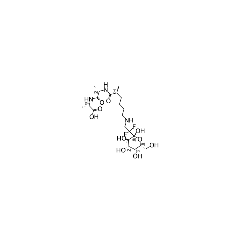 C[C@H](NC(=O)[C@H](C)NC(=O)[C@@H](C)CCCCNCC(F)(F)[C@]1(O)O[C@H](CO)[C@H](O)[C@H](O)[C@H]1O)C(=O)O